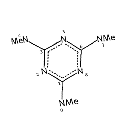 CNc1nc(NC)nc(NC)n1